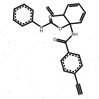 C#Cc1ccc(C(=O)NC2(OC(=O)Nc3ccccc3)C=CC=CC2C=C)cc1